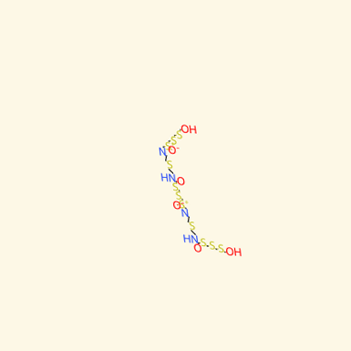 O=C(NCCSCC/N=C/[S+]([O-])CSCSC(=O)NCCSCC/N=C\[S+]([O-])CSCSCO)SCSCSCO